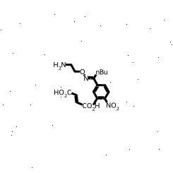 CCCCC(=NOCCN)c1ccc([N+](=O)[O-])c(C)c1.O=C(O)C=CC(=O)O